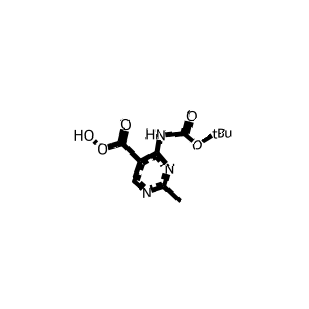 Cc1ncc(C(=O)OO)c(NC(=O)OC(C)(C)C)n1